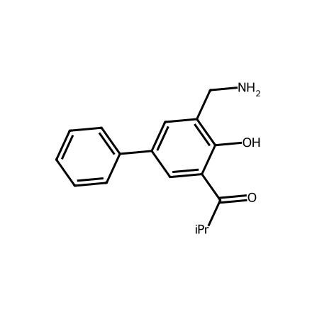 CC(C)C(=O)c1cc(-c2ccccc2)cc(CN)c1O